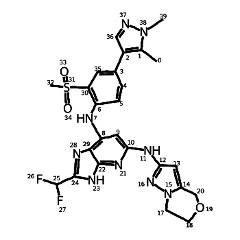 Cc1c(-c2ccc(Nc3cc(Nc4cc5n(n4)CCOC5)nc4[nH]c(C(F)F)nc34)c(S(C)(=O)=O)c2)cnn1C